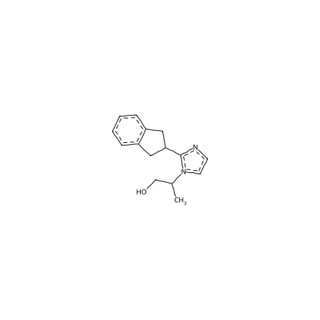 CC(CO)n1ccnc1C1Cc2ccccc2C1